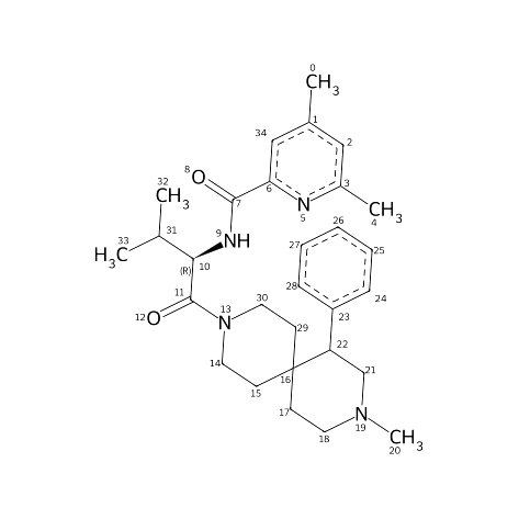 Cc1cc(C)nc(C(=O)N[C@@H](C(=O)N2CCC3(CCN(C)CC3c3ccccc3)CC2)C(C)C)c1